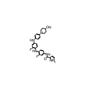 Cn1ccc(C(=O)Nc2ccc(Nc3ccc(Nc4ccc(N5CCC(O)CC5)cc4)cc3F)c(F)c2)n1